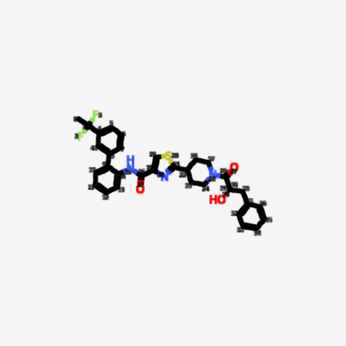 CC(F)(F)c1cccc(-c2ccccc2NC(=O)c2csc(C3CCN(C(=O)[C@H](O)Cc4ccccc4)CC3)n2)c1